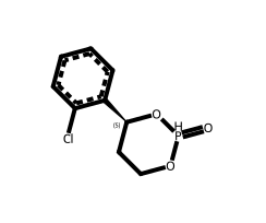 O=[PH]1OCC[C@@H](c2ccccc2Cl)O1